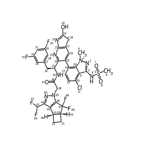 Cn1nc(NS(C)(=O)=O)c2c(Cl)ccc(-c3cc4sc(O)nc4nc3[C@H](Cc3cc(F)cc(F)c3)NC(=O)Cn3nc(C(F)F)c4c3C(F)(F)[C@@H]3CC[C@H]43)c21